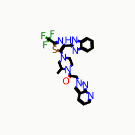 CC1CN(c2sc(C(F)(F)F)nc2-c2nc3ccccc3[nH]2)CCN1C(=O)Cn1cc2cccnc2n1